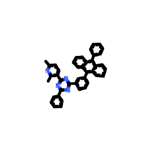 Cc1ccc(-c2nc(-c3ccccc3)nc(-c3cccc(-c4c5ccccc5c(-c5ccccc5)c5ccccc45)c3)n2)c(C)n1